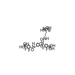 NNC(CCCCNC(=O)CN(Cc1ccc(CNC(=O)c2ccc(B(O)O)c(F)c2F)cc1)C(=O)c1ccc(B(O)O)c(F)c1F)C(=O)O